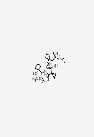 CC(C)[C@@H](NC(=O)C1(C(=O)N[C@H](C(C)C)C2(O)CCC2)CC1)C1(O)CCC1